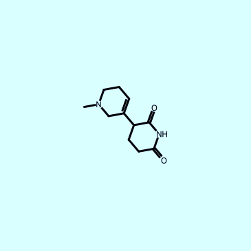 CN1CCC=C(C2CCC(=O)NC2=O)C1